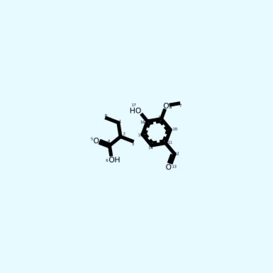 CCC(C)C(=O)O.COc1cc(C=O)ccc1O